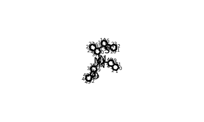 c1ccc2cc(-c3nc(-c4cc(-c5cccc6c5sc5ccccc56)c5ccccc5c4)nc(-c4ccc5c(c4)oc4ccccc45)n3)ccc2c1